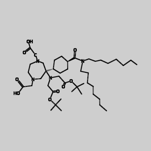 CCCCCCCCN(CCCCCCCC)C(=O)[C@H]1CC[C@H](C2(N(CC(=O)OC(C)(C)C)CC(=O)OC(C)(C)C)CN(CC(=O)O)CCN(CC(=O)O)C2)CC1